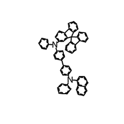 c1ccc(N(c2ccc(-c3ccc(N(c4ccccc4)c4cccc5ccccc45)cc3)cc2)c2ccc3c(c2)C2(c4ccccc4-c4ccccc42)c2ccccc2-3)cc1